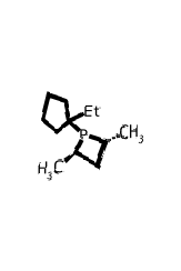 CCC1(P2[C@H](C)C[C@H]2C)CCCC1